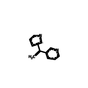 C=C(c1[c]nccc1)c1cccnc1